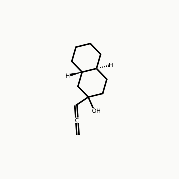 C=C=CC1(O)CC[C@@H]2CCCC[C@H]2C1